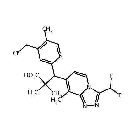 Cc1cnc(C(c2ccn3c(C(F)F)nnc3c2C)C(C)(C)C(=O)O)cc1CCl